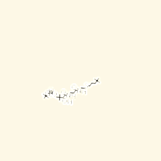 CC(C)(C)CCCSCCNC(=O)CCNC(=O)C(O)C(C)(C)COP(C)(=O)OC(C)(C)C